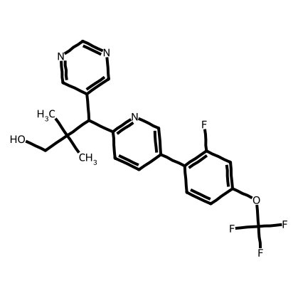 CC(C)(CO)C(c1cncnc1)c1ccc(-c2ccc(OC(F)(F)F)cc2F)cn1